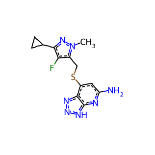 Cn1nc(C2CC2)c(F)c1CSc1cc(N)nc2[nH]nnc12